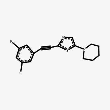 Fc1cc(F)cc(C#Cc2ncc(N3CCCCC3)s2)c1